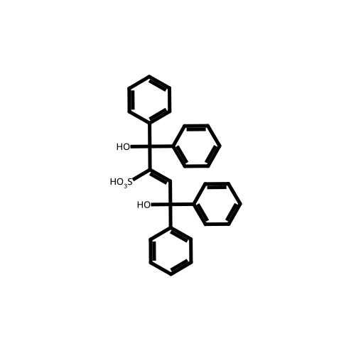 O=S(=O)(O)/C(=C\C(O)(c1ccccc1)c1ccccc1)C(O)(c1ccccc1)c1ccccc1